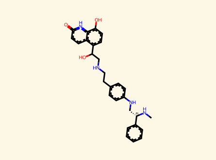 CN[C@@H](CNc1ccc(CCNCC(O)c2ccc(O)c3[nH]c(=O)ccc23)cc1)c1ccccc1